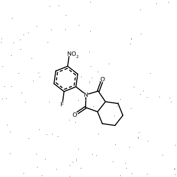 O=C1C2CCCCC2C(=O)N1c1cc([N+](=O)[O-])ccc1F